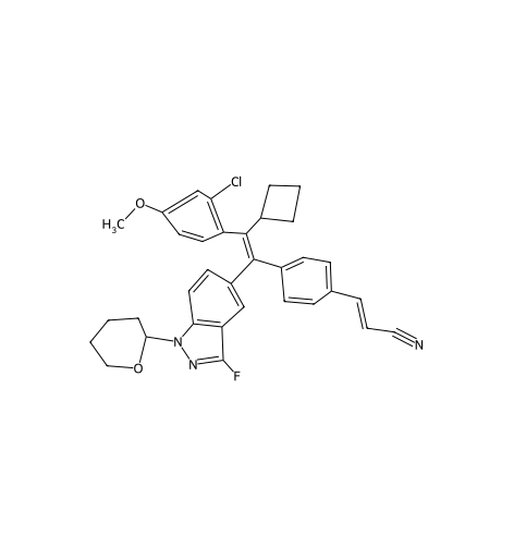 COc1ccc(C(=C(c2ccc(C=CC#N)cc2)c2ccc3c(c2)c(F)nn3C2CCCCO2)C2CCC2)c(Cl)c1